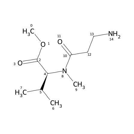 COC(=O)[C@H](C(C)C)N(C)C(=O)CCN